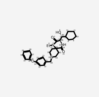 CCN1C(=O)[C@@H]([C@H](O)C2CCCCC2)NC(=O)C12CCN(Cc1ccc(Oc3ccccc3)cc1)CC2